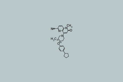 C[C@@H]1CN(c2cc(=O)n(C)c3ccc(C#N)nc23)CC[C@H]1Oc1ccc(C2CCCC2)cc1